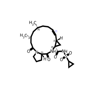 C[C@@H]1CC/C=C\[C@@H]2C[C@@]2(C(=O)NS(=O)(=O)C2CC2)NC(=O)[C@@H]2CCCN2C(=O)C[C@H](C)C1